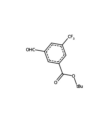 CC(C)(C)OC(=O)c1cc(C=O)cc(C(F)(F)F)c1